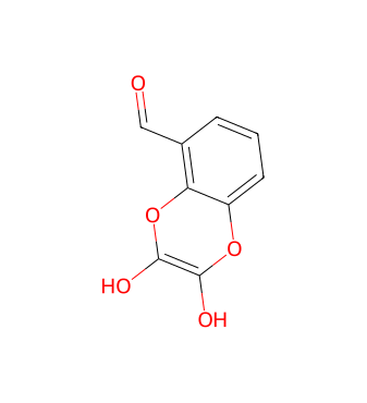 O=Cc1cccc2c1OC(O)=C(O)O2